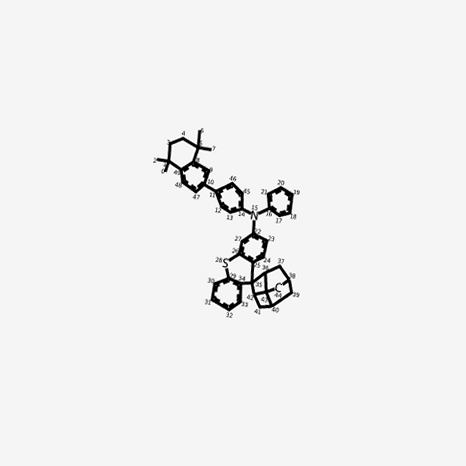 CC1(C)CCC(C)(C)c2cc(-c3ccc(N(c4ccccc4)c4ccc5c(c4)Sc4ccccc4C54C5CC6CC7CC4C75C6)cc3)ccc21